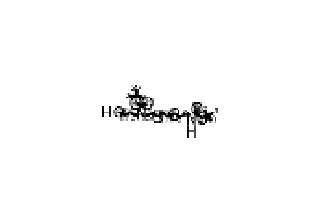 CC(C)(C)OC(=O)NCCOCCOCCN(CCCO)C(=O)OC(C)(C)C